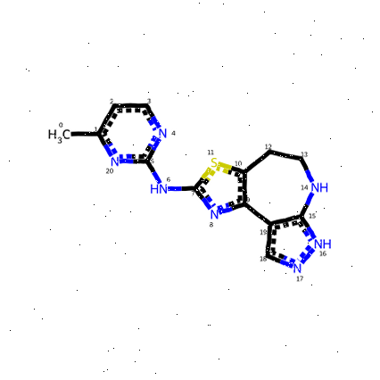 Cc1ccnc(Nc2nc3c(s2)CCNc2[nH]ncc2-3)n1